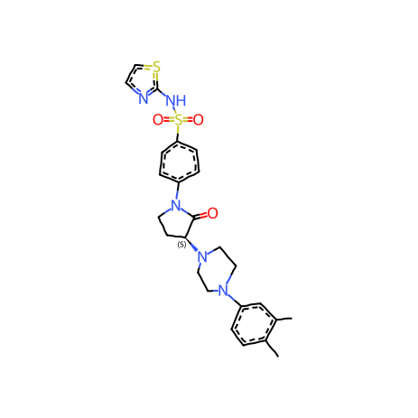 Cc1ccc(N2CCN([C@H]3CCN(c4ccc(S(=O)(=O)Nc5nccs5)cc4)C3=O)CC2)cc1C